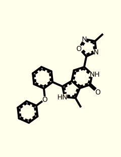 Cc1noc(-c2cc3c(-c4ccccc4Oc4ccccc4)[nH]c(C)c3c(=O)[nH]2)n1